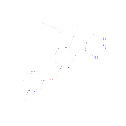 CC(C)(C)C#CC(O)(c1cncnc1)c1ccc(Oc2cccc(Cl)n2)cn1